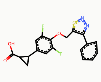 O=C(O)C1CC1c1cc(F)c(OCc2snnc2-c2ccccc2)c(F)c1